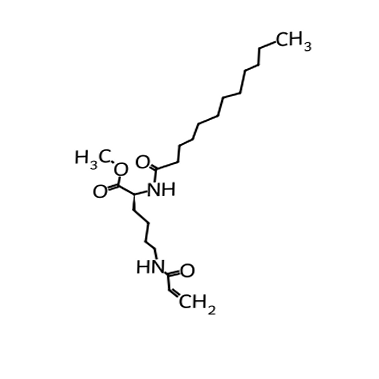 C=CC(=O)NCCCC[C@H](NC(=O)CCCCCCCCCCC)C(=O)OC